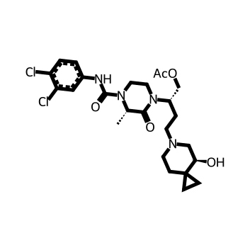 CC(=O)OC[C@H](CCN1CCC2(CC2)[C@H](O)C1)N1CCN(C(=O)Nc2ccc(Cl)c(Cl)c2)[C@@H](C)C1=O